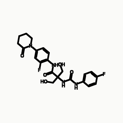 O=C(Nc1ccc(F)cc1)NC(CO)(CO)C(=O)Nc1ccc(N2CCCCC2=O)cc1F